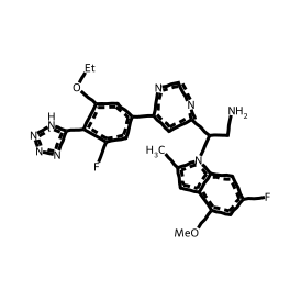 CCOc1cc(-c2cc(C(CN)n3c(C)cc4c(OC)cc(F)cc43)ncn2)cc(F)c1-c1nnn[nH]1